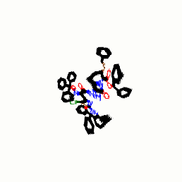 O=C(OC(c1ccccc1)c1ccccc1)C1=C(SCc2ccccc2)CCC2C(NC(=O)/C(=N\OC(c3ccccc3)(c3ccccc3)c3ccccc3)c3nc(NC(c4ccccc4)(c4ccccc4)c4ccccc4)sc3Cl)C(=O)N12